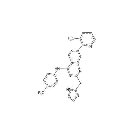 FC(F)(F)c1ccc(Nc2nc(Cc3ncc[nH]3)nc3cc(-c4ncccc4C(F)(F)F)ccc23)cc1